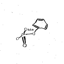 COP(=O)(Cl)Oc1ccccc1